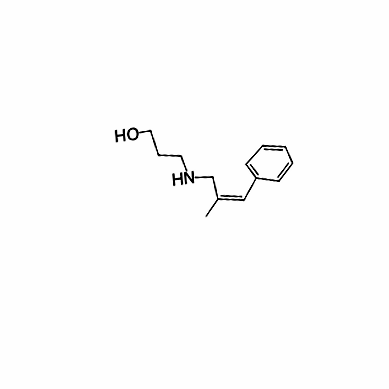 CC(=Cc1ccccc1)CNCCCO